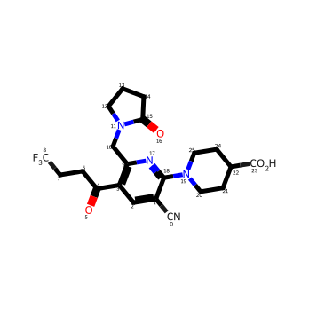 N#Cc1cc(C(=O)CCC(F)(F)F)c(CN2CCCC2=O)nc1N1CCC(C(=O)O)CC1